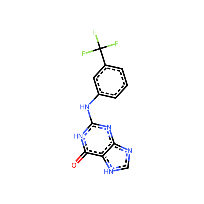 O=c1[nH]c(Nc2cccc(C(F)(F)F)c2)nc2nc[nH]c12